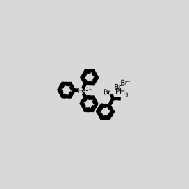 CC(Br)c1ccccc1.P.[Br-].[Br-].c1cc[c]([Fe+2]([c]2ccccc2)[c]2ccccc2)cc1